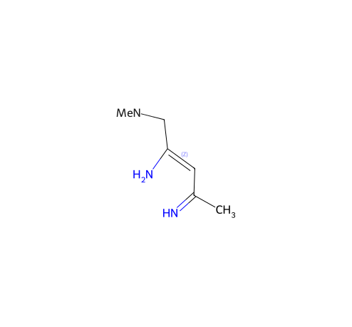 CNC/C(N)=C/C(C)=N